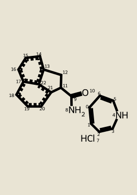 C1=CC=CNC=C1.Cl.NC(=O)C1Cc2cccc3cccc1c23